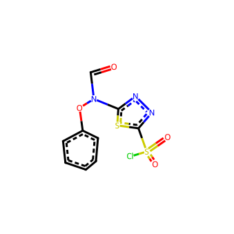 O=CN(Oc1ccccc1)c1nnc(S(=O)(=O)Cl)s1